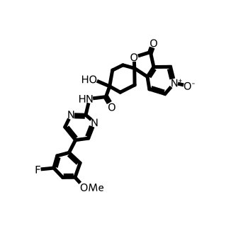 COc1cc(F)cc(-c2cnc(NC(=O)C3(O)CCC4(CC3)OC(=O)c3c[n+]([O-])ccc34)nc2)c1